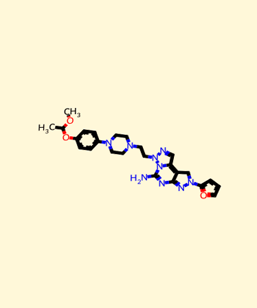 COC(C)Oc1ccc(N2CCN(CCN3N=CC4=C5CN(c6ccco6)N=C5N=C(N)N43)CC2)cc1